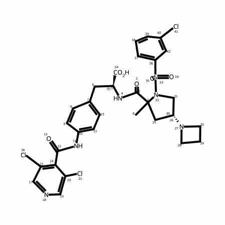 CC1(C(=O)N[C@@H](Cc2ccc(NC(=O)c3c(Cl)cncc3Cl)cc2)C(=O)O)C[C@@H](N2CCC2)CN1S(=O)(=O)c1cccc(Cl)c1